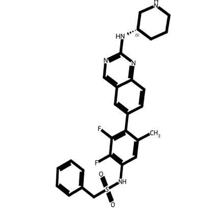 Cc1cc(NS(=O)(=O)Cc2ccccc2)c(F)c(F)c1-c1ccc2nc(N[C@H]3CCCNC3)ncc2c1